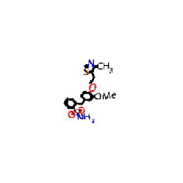 COc1cc(Cc2ccccc2S(N)(=O)=O)ccc1OCCc1scnc1C